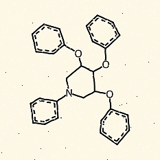 [c]1ccccc1N1CC(Oc2ccccc2)C(Oc2ccccc2)C(Oc2ccccc2)C1